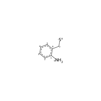 Nc1ccccc1C[S]